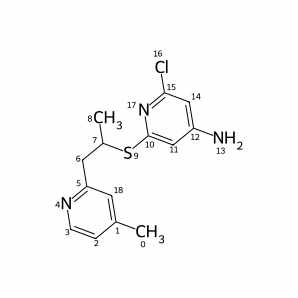 Cc1ccnc(CC(C)Sc2cc(N)cc(Cl)n2)c1